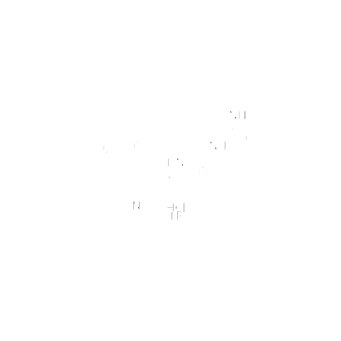 COc1cc2c(c3c1OC(C)(C)C3)C(c1cccc(NC(=O)CNC3CCNC3=O)c1)=NC(C)(C)C2.Cl.Cl